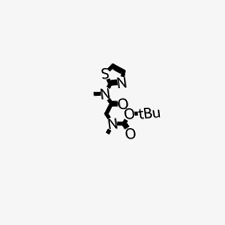 CN(CC(=O)N(C)c1nccs1)C(=O)OC(C)(C)C